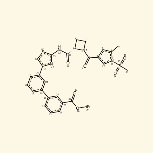 Cc1cc(C(=O)N2CC[C@H]2C(=O)Nc2nc(-c3cccc(-c4cccc(C(=O)OC(C)C)c4)c3)cs2)cn1S(C)(=O)=O